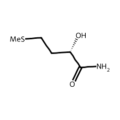 CSCC[C@H](O)C(N)=O